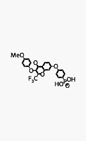 COc1ccc(Oc2c(C(F)(F)F)oc3cc(Oc4ccc(P(=O)(O)O)cc4)ccc3c2=O)cc1